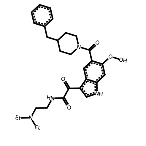 CCN(CC)CCNC(=O)C(=O)c1c[nH]c2cc(OO)c(C(=O)N3CCC(Cc4ccccc4)CC3)cc12